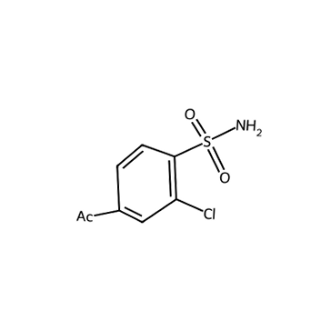 CC(=O)c1ccc(S(N)(=O)=O)c(Cl)c1